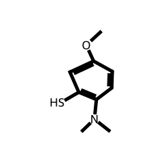 COc1ccc(N(C)C)c(S)c1